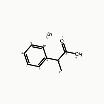 CC(C(=O)O)c1ccccc1.[Zn]